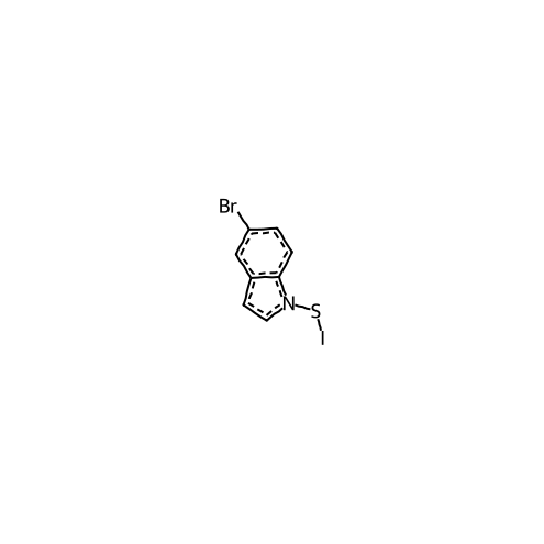 Brc1ccc2c(ccn2SI)c1